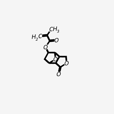 C=C(C)C(=O)OC1CC2OC1C1COC(=O)C21